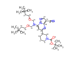 CC(C)(C)OC(=O)N1CCCC(c2cc(N(COCC[Si](C)(C)C)COCC[Si](C)(C)C)n3ncc(C#N)c3n2)C1